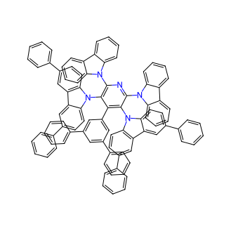 c1ccc(-c2cc(-c3ccccc3)cc(-c3c(-n4c5ccc(-c6ccccc6)cc5c5cc(-c6ccccc6)ccc54)c(-n4c5ccccc5c5ccccc54)nc(-n4c5ccccc5c5ccccc54)c3-n3c4ccc(-c5ccccc5)cc4c4cc(-c5ccccc5)ccc43)c2)cc1